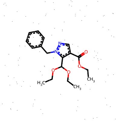 CCOC(=O)c1cnn(Cc2ccccc2)c1C(OCC)OCC